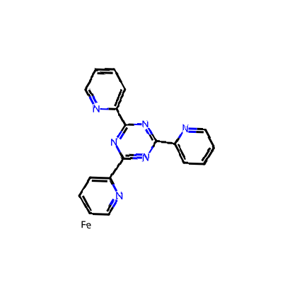 [Fe].c1ccc(-c2nc(-c3ccccn3)nc(-c3ccccn3)n2)nc1